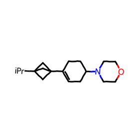 CC(C)C12CC(C3=CCC(N4CCOCC4)CC3)(C1)C2